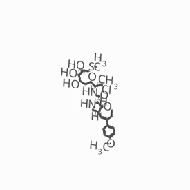 COc1ccc(C2=C[C@H]3CN[C@H](C(=O)N[C@@H](C4CC(O)C(O)[C@@H](O)C(SC)O4)[C@H](C)Cl)[C@@H]3OCC2)cc1